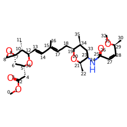 COC(=O)C[C@@H]1C[C@@]2(CO2)[C@H](C)[C@@H](/C=C/C(C)=C/C[C@@H]2O[C@H](C)[C@H](NC(=O)/C=C\[C@H](C)OC)C[C@@H]2C)O1